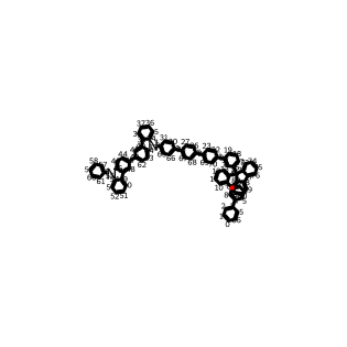 c1ccc(-c2cccc(-c3ccccc3C3(c4cccc(-c5ccc(-c6ccc(-c7ccc(-n8c9ccccc9c9cc(-c%10ccc%11c(c%10)c%10ccccc%10n%11-c%10ccccc%10)ccc98)cc7)cc6)cc5)c4)c4ccccc4-c4ccccc43)c2)cc1